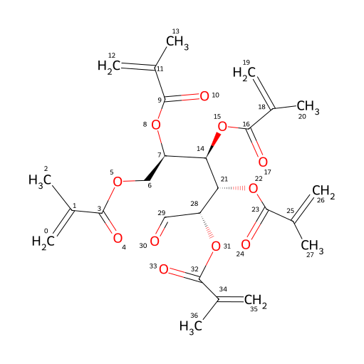 C=C(C)C(=O)OC[C@@H](OC(=O)C(=C)C)[C@@H](OC(=O)C(=C)C)[C@H](OC(=O)C(=C)C)[C@@H](C=O)OC(=O)C(=C)C